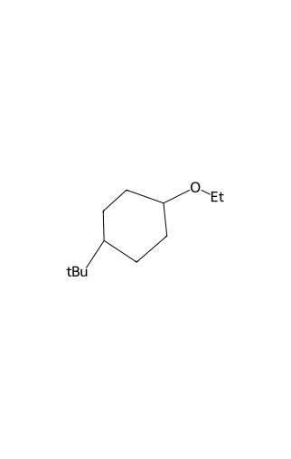 CCOC1CCC(C(C)(C)C)CC1